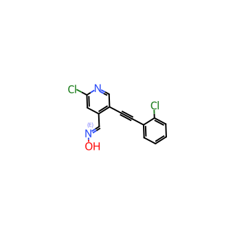 O/N=C/c1cc(Cl)ncc1C#Cc1ccccc1Cl